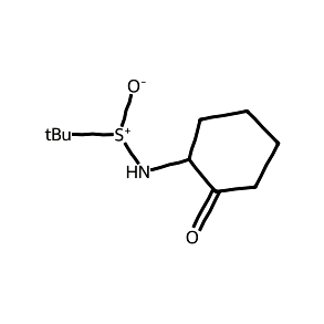 CC(C)(C)[S+]([O-])NC1CCCCC1=O